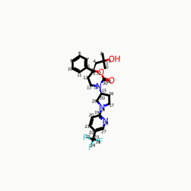 CC(C)(O)C[C@]1(c2ccccc2)CCN([C@H]2CCN(c3ccc(C(F)(F)F)cn3)C2)C(=O)O1